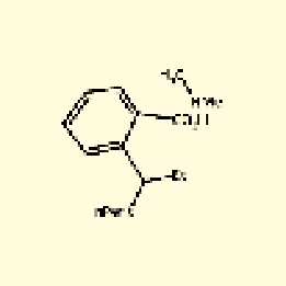 CCCCCC(CC)c1ccccc1C(=O)O.CNC